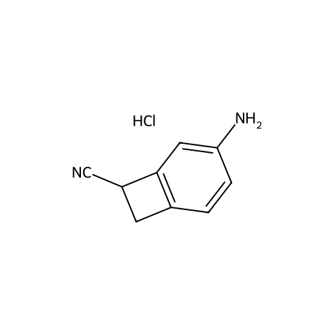 Cl.N#CC1Cc2ccc(N)cc21